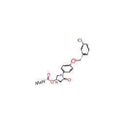 CNC(=O)O[C@@H]1CC(=O)N(c2ccc(OCc3cccc(Cl)c3)cc2)C1